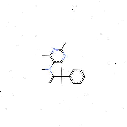 C=C(N(C)c1cnc(C)nc1C)C(C)(CC)c1ccccc1